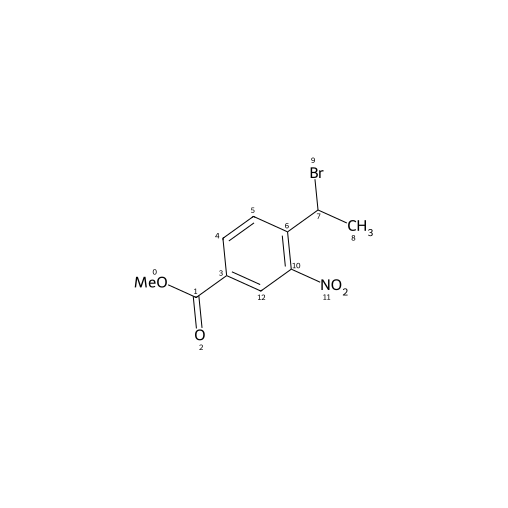 COC(=O)c1ccc(C(C)Br)c([N+](=O)[O-])c1